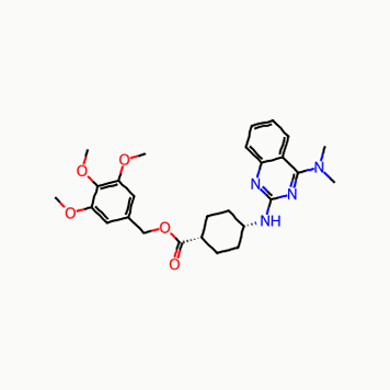 COc1cc(COC(=O)[C@H]2CC[C@@H](Nc3nc(N(C)C)c4ccccc4n3)CC2)cc(OC)c1OC